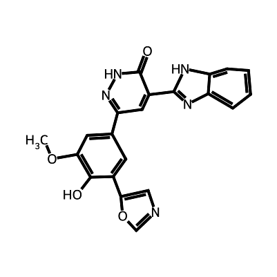 COc1cc(-c2cc(-c3nc4ccccc4[nH]3)c(=O)[nH]n2)cc(-c2cnco2)c1O